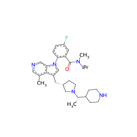 Cc1cncc2c1c(C[C@@H]1CCN([C@@H](C)C3CCNCC3)C1)cn2-c1ccc(F)cc1C(=O)N(C)C(C)C